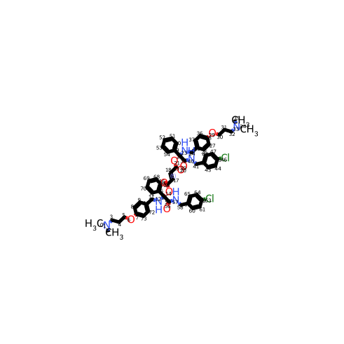 CN(C)CCCOc1ccc(CNC(OC(=O)/C=C/C(=O)OC(NCc2ccc(OCCCN(C)C)cc2)(C(=O)NCc2ccc(Cl)cc2)c2ccccc2)(C(=O)NCc2ccc(Cl)cc2)c2ccccc2)cc1